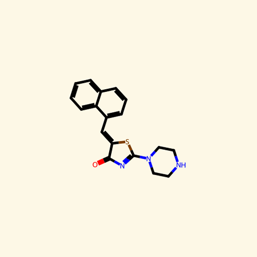 O=C1N=C(N2CCNCC2)S/C1=C\c1cccc2ccccc12